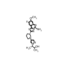 COc1cc2nc(N)n3nc([C@@H]4CCCN(c5cnn([C@H](C)[C@H](C)O)c5)C4)nc3c2cc1F